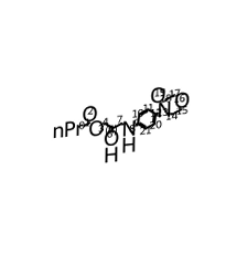 CCCC(=O)OC[C@H](O)CNc1ccc(N2CCOCC2=O)cc1